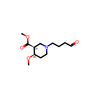 COC(=O)[C@H]1CN(CCCC=O)CC[C@H]1OC